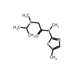 Cc1cnc(N(C)C(=O)CN(C)C(C)C)s1